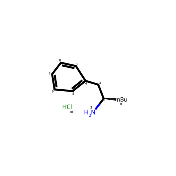 CCCC[C@@H](N)Cc1ccccc1.Cl